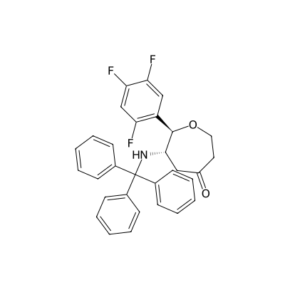 O=C1CCO[C@H](c2cc(F)c(F)cc2F)[C@@H](NC(c2ccccc2)(c2ccccc2)c2ccccc2)C1